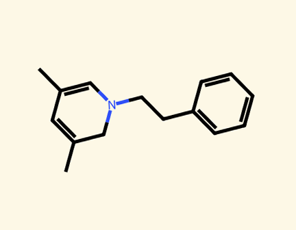 CC1=CN(CCc2ccccc2)CC(C)=C1